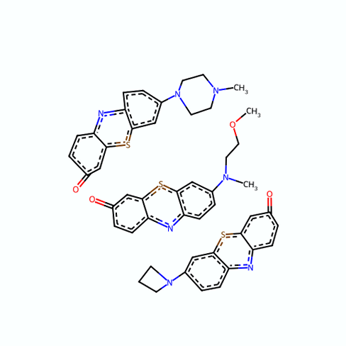 CN1CCN(c2ccc3nc4ccc(=O)cc-4sc3c2)CC1.COCCN(C)c1ccc2nc3ccc(=O)cc-3sc2c1.O=c1ccc2nc3ccc(N4CCC4)cc3sc-2c1